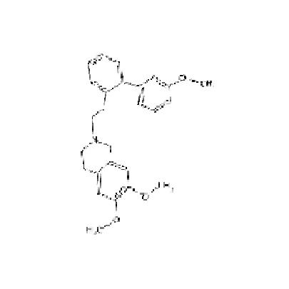 COc1cccc(-c2ccccc2CCN2CCc3cc(OC)c(OC)cc3C2)c1